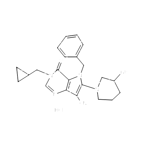 Cl.N#Cc1c(N2CCCC(N)C2)n(Cc2ccccc2)c2c(=O)n(CC3CC3)cnc12